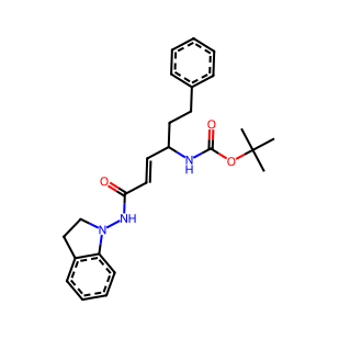 CC(C)(C)OC(=O)NC(C=CC(=O)NN1CCc2ccccc21)CCc1ccccc1